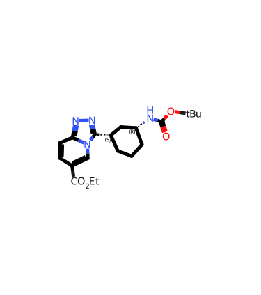 CCOC(=O)c1ccc2nnc([C@H]3CCC[C@@H](NC(=O)OC(C)(C)C)C3)n2c1